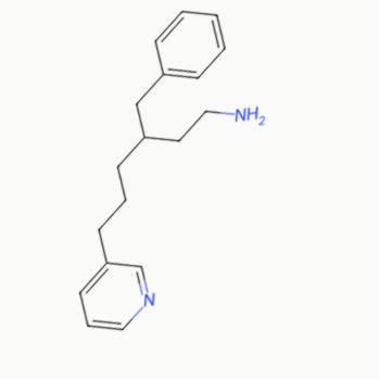 NCCC(CCCc1cccnc1)Cc1ccccc1